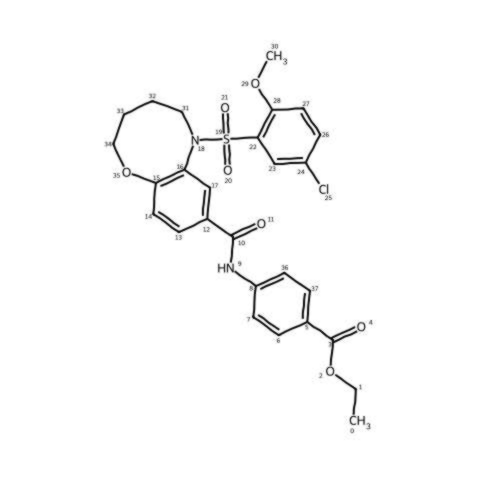 CCOC(=O)c1ccc(NC(=O)c2ccc3c(c2)N(S(=O)(=O)c2cc(Cl)ccc2OC)CCCCO3)cc1